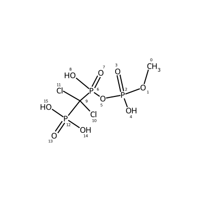 COP(=O)(O)OP(=O)(O)C(Cl)(Cl)P(=O)(O)O